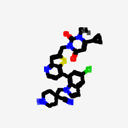 Cn1c(C2CC2)cc(=O)n(Cc2cc3nccc(-c4cc(Cl)cc5ccn(CC6(C#N)CCNCC6)c45)c3s2)c1=O